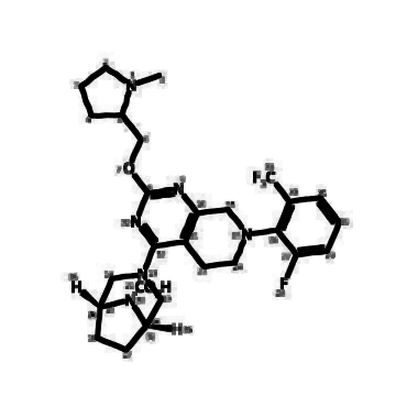 CN1CCCC1COc1nc2c(c(N3C[C@H]4CC[C@@H](C3)N4C(=O)O)n1)CCN(c1c(F)cccc1C(F)(F)F)C2